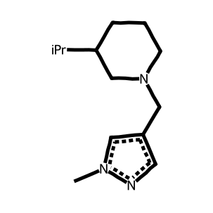 CC(C)C1CCCN(Cc2cnn(C)c2)C1